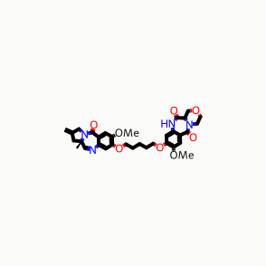 C=C1CN2C(=O)c3cc(OC)c(OCCCCCOc4cc5c(cc4OC)C(=O)N4CCOCC4C(=O)N5)cc3N=C[C@]2(C)C1